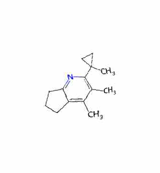 Cc1c(C2(C)CC2)nc2c(c1C)CCC2